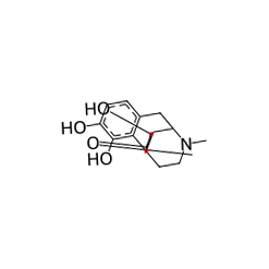 CN1CCC23CC(=O)C(O)CC2C1Cc1ccc(O)c(O)c13